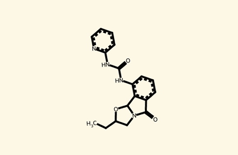 CCC1CN2C(=O)c3cccc(NC(=O)Nc4ccccn4)c3C2O1